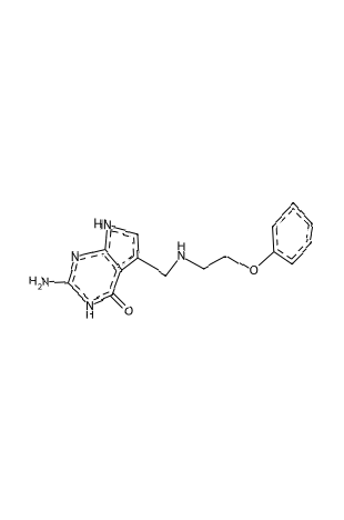 Nc1nc2[nH]cc(CNCCOc3ccccc3)c2c(=O)[nH]1